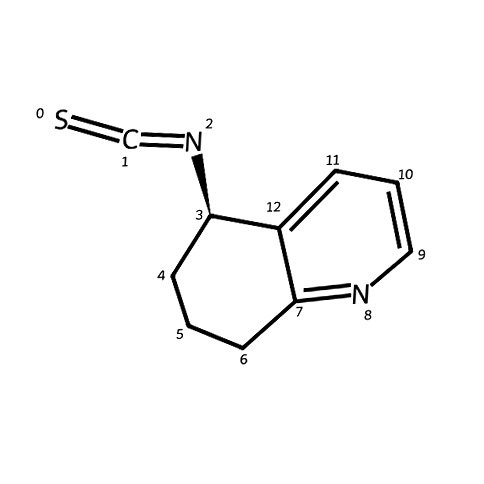 S=C=N[C@@H]1CCCc2ncccc21